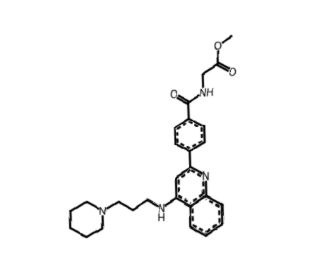 COC(=O)CNC(=O)c1ccc(-c2cc(NCCCN3CCCCC3)c3ccccc3n2)cc1